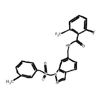 Cc1cccc(S(=O)(=O)n2ncc3ccc(NC(=O)c4c(F)cccc4C(F)(F)F)cc32)c1